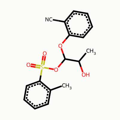 Cc1ccccc1S(=O)(=O)OC(Oc1ccccc1C#N)C(C)O